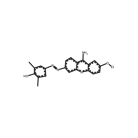 CCOc1ccc2nc3cc(/N=N/c4cc(C)c(O)c(C)c4)ccc3c(N)c2c1